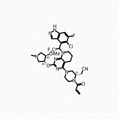 C=CC(=O)N1CCN(c2nc(O[C@@H]3CN(C)C[C@H]3OC)nc3c2CCCN3C(c2c(Cl)c(F)cc3[nH]ncc23)C(F)(F)F)C[C@@H]1CC#N